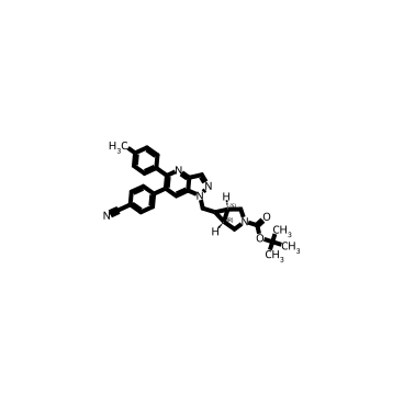 Cc1ccc(-c2nc3cnn(CC4[C@H]5CN(C(=O)OC(C)(C)C)C[C@@H]45)c3cc2-c2ccc(C#N)cc2)cc1